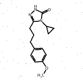 COc1ccc(CCCc2n[nH]c(=O)n2C2CC2)cc1